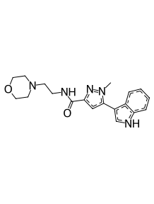 Cn1nc(C(=O)NCCN2CCOCC2)cc1-c1c[nH]c2ccccc12